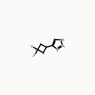 FC1(F)CC(c2c[nH]nn2)C1